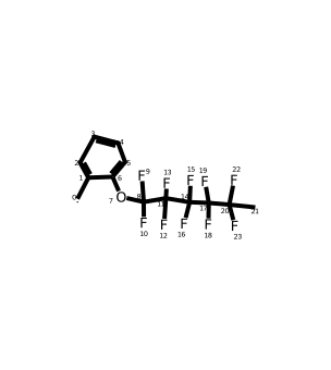 [CH2]c1ccccc1OC(F)(F)C(F)(F)C(F)(F)C(F)(F)C(C)(F)F